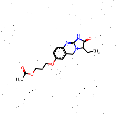 CCC1C(=O)NC2=Nc3ccc(OCCCOC(C)=O)cc3CN21